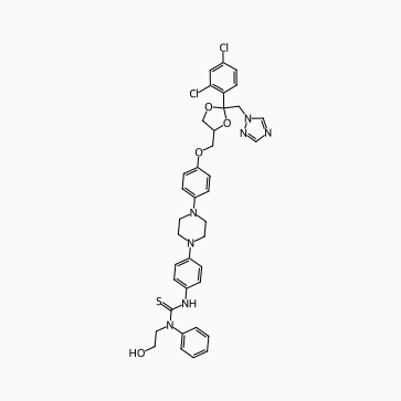 OCCN(C(=S)Nc1ccc(N2CCN(c3ccc(OCC4COC(Cn5cncn5)(c5ccc(Cl)cc5Cl)O4)cc3)CC2)cc1)c1ccccc1